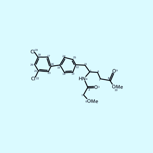 COCC(=O)NC(CCC(=O)OC)Cc1ccc(-c2cc(Cl)cc(Cl)c2)cc1